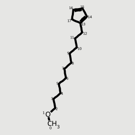 COCCCCCCCCCCCC1=CC=CC1